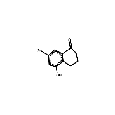 O=C1CCCc2c(O)cc(Br)cc21